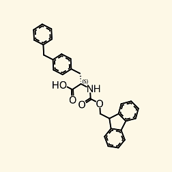 O=C(N[C@@H](Cc1ccc(Cc2ccccc2)cc1)C(=O)O)OCC1c2ccccc2-c2ccccc21